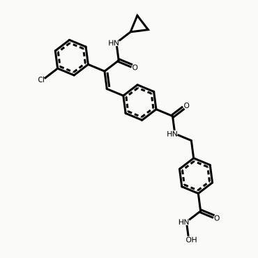 O=C(NC1CC1)C(=Cc1ccc(C(=O)NCc2ccc(C(=O)NO)cc2)cc1)c1cccc(Cl)c1